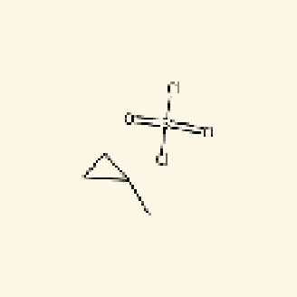 CC1CC1.O=S(=O)(Cl)Cl